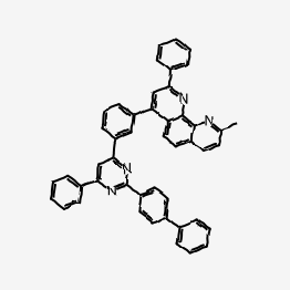 Cc1ccc2ccc3c(-c4cccc(-c5cc(-c6ccccc6)nc(-c6ccc(-c7ccccc7)cc6)n5)c4)cc(-c4ccccc4)nc3c2n1